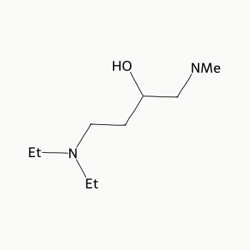 CCN(CC)CCC(O)CNC